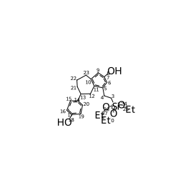 CCO[Si](CCc1cc(O)cc2c1CC(c1ccc(O)cc1)CCC2)(OCC)OCC